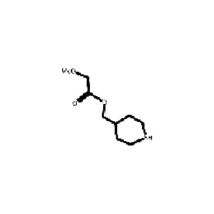 COCC(=O)OCC1CCNCC1